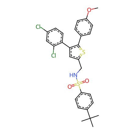 COc1ccc(-c2sc(CNS(=O)(=O)c3ccc(C(C)(C)C)cc3)cc2-c2ccc(Cl)cc2Cl)cc1